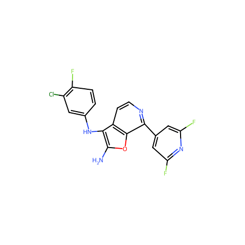 Nc1oc2c(-c3cc(F)nc(F)c3)nccc2c1Nc1ccc(F)c(Cl)c1